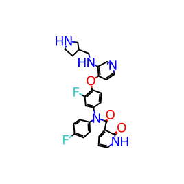 O=C(c1ccc[nH]c1=O)N(c1ccc(F)cc1)c1ccc(Oc2ccncc2NCC2CCNC2)c(F)c1